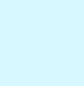 CCCC1C(CCCCl)C(=O)N1[Si](C)(C)C(C)(C)C